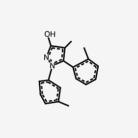 Cc1cccc(-n2nc(O)c(C)c2-c2ccccc2C)c1